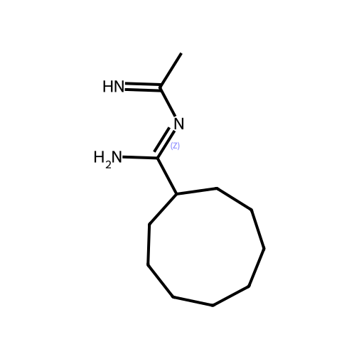 CC(=N)/N=C(\N)C1CCCCCCCC1